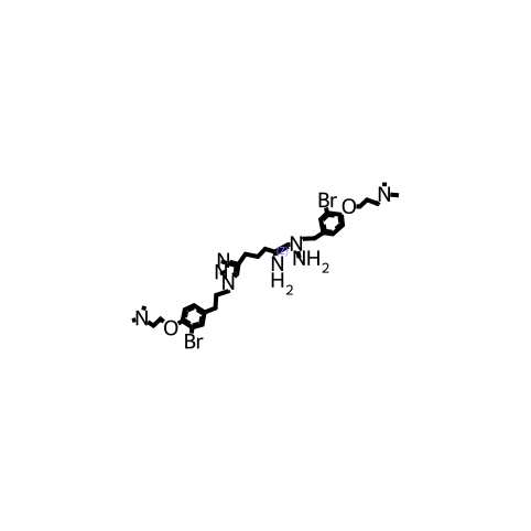 CN(C)CCCOc1ccc(CCN(N)/C=C(\N)CCCc2cn(CCCc3ccc(OCCN(C)C)c(Br)c3)nn2)cc1Br